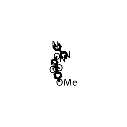 COc1ccc(S(=O)(=O)N2CCC(Oc3ncncc3-c3ccncc3)C2)cc1